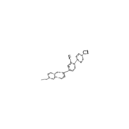 CCc1ccc2cc(-c3ccc(-c4ccc(Cl)cc4)c(F)c3)ccc2c1